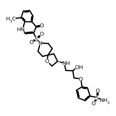 Cc1cccc2c(=O)c(S(=O)(=O)N3CCC4(CC3)C[C@@H](NCC(O)COc3cccc(S(N)(=O)=O)c3)CO4)c[nH]c12